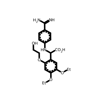 CCOc1cc(OCCO)c(C(Nc2ccc(C(=N)N)cc2)C(=O)O)cc1OCC